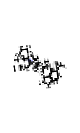 CC(C)c1ncc2c(c1NC(=O)NS(=O)(=O)/C(C=N)=C1/NCCCO1)CCC2